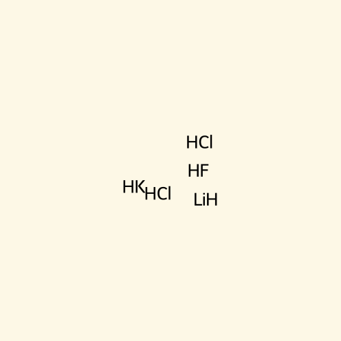 Cl.Cl.F.[KH].[LiH]